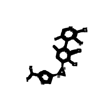 Cc1cnc(Cl)c(F)c1-n1c(C)cc([C@H]2C[C@@H]2c2cnn(C(F)F)c2)c(Cl)c1=O